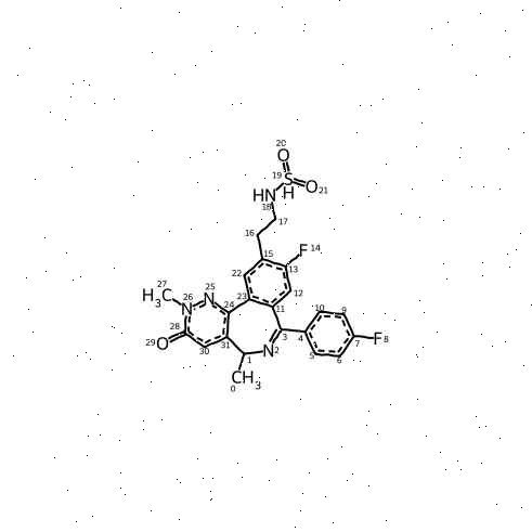 CC1N=C(c2ccc(F)cc2)c2cc(F)c(CCN[SH](=O)=O)cc2-c2nn(C)c(=O)cc21